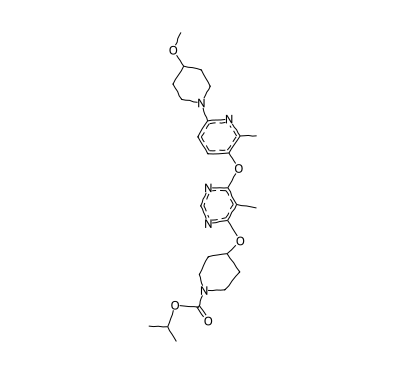 COC1CCN(c2ccc(Oc3ncnc(OC4CCN(C(=O)OC(C)C)CC4)c3C)c(C)n2)CC1